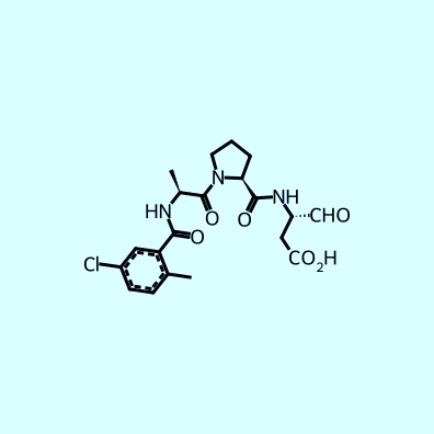 Cc1ccc(Cl)cc1C(=O)N[C@@H](C)C(=O)N1CCC[C@H]1C(=O)N[C@H](C=O)CC(=O)O